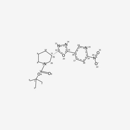 CC(C)(C)OC(=O)N1CCC[C@H](c2nnc(-c3ccc([N+](=O)[O-])nc3)o2)C1